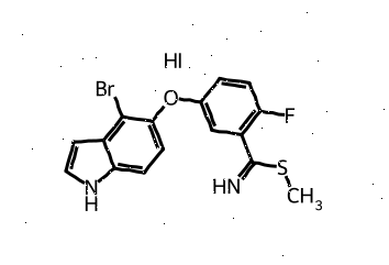 CSC(=N)c1cc(Oc2ccc3[nH]ccc3c2Br)ccc1F.I